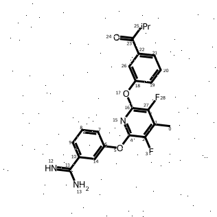 Cc1c(F)c(Oc2cccc(C(=N)N)c2)nc(Oc2cccc(C(=O)C(C)C)c2)c1F